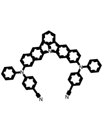 N#Cc1ccc(N(c2ccccc2)c2ccc3cc4c5cccc6c7cc8ccc(N(c9ccccc9)c9ccc(C#N)cc9)cc8cc7n(c4cc3c2)c56)cc1